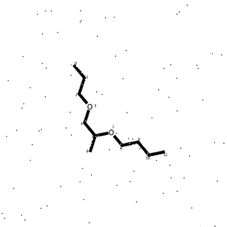 [CH2]CCOCC(C)OCCCC